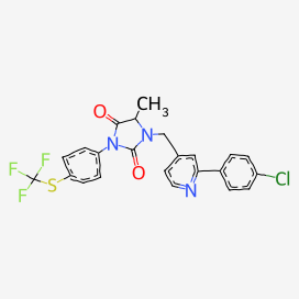 CC1C(=O)N(c2ccc(SC(F)(F)F)cc2)C(=O)N1Cc1ccnc(-c2ccc(Cl)cc2)c1